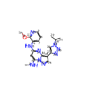 CNc1cc(Nc2cccnc2OC)nc2c(-c3cn(C(C)C)nn3)cnn12